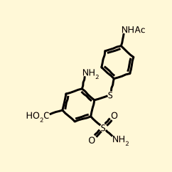 CC(=O)Nc1ccc(Sc2c(N)cc(C(=O)O)cc2S(N)(=O)=O)cc1